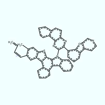 C=C/C=C\c1cc2c(cc1C)sc1c2c2ccccc2c2c3ccccc3n(-c3nc4c(ccc5ccccc54)nc3-c3cccc4c3oc3cnccc34)c12